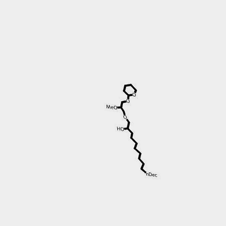 CCCCCCCCCCCCCCCCCCC(O)COCC(COC1CCCCO1)OC